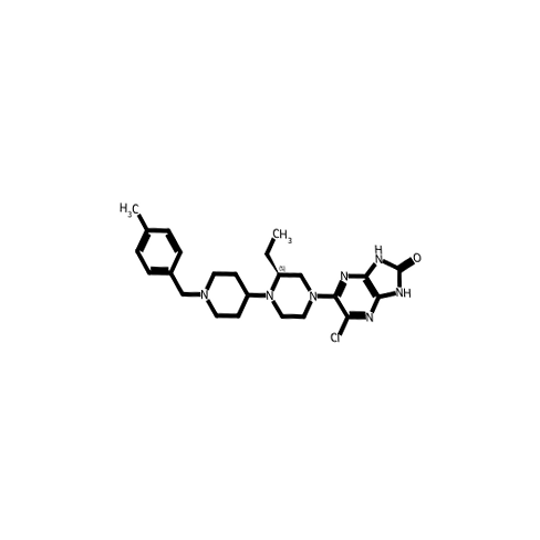 CC[C@H]1CN(c2nc3[nH]c(=O)[nH]c3nc2Cl)CCN1C1CCN(Cc2ccc(C)cc2)CC1